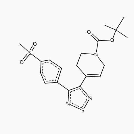 CC(C)(C)OC(=O)N1CC=C(c2nsnc2-c2ccc(S(C)(=O)=O)cc2)CC1